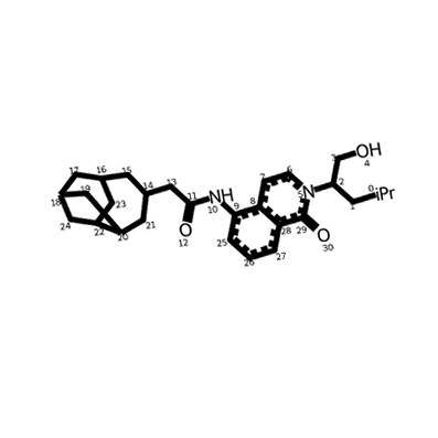 CC(C)CC(CO)n1ccc2c(NC(=O)CC3CC4CC5CC(C3)C(C4)C5)cccc2c1=O